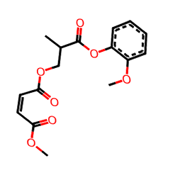 COC(=O)/C=C\C(=O)OCC(C)C(=O)Oc1ccccc1OC